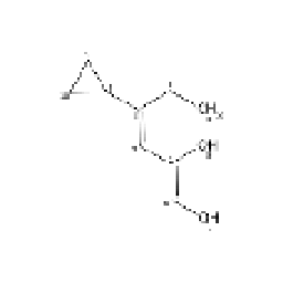 CC/C(=C\C(O)=C\O)C1CC1